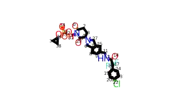 O=C1CCC(N2Cc3ccc(CNC(=O)C(F)(F)c4ccc(Cl)cc4)cc3C2)C(=O)N1COP(=O)(O)OC1CC1